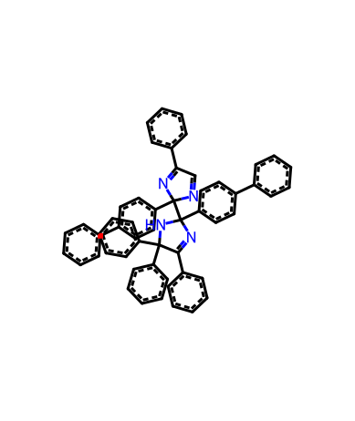 C1=NC(c2ccc(-c3ccccc3)cc2)(C2(c3ccc(-c4ccccc4)cc3)N=C(c3ccccc3)C(c3ccccc3)(c3ccccc3)N2)N=C1c1ccccc1